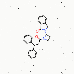 O=C(CC(c1ccccc1)c1ccccc1)N1CCC1N1Cc2ccccc2C1=O